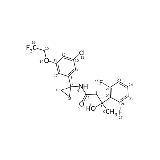 CC(O)(CC(=O)NC1(c2cc(Cl)cc(OCC(F)(F)F)c2)CC1)c1c(F)cccc1F